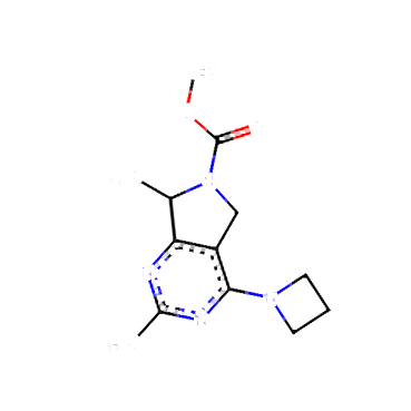 Cc1nc2c(c(N3CCC3)n1)CN(C(=O)OC(C)(C)C)C2C